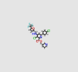 O=C(OCc1cccnc1)c1nc(-c2ccc(Cl)cc2)cc(NCc2ccc(C(F)(F)F)o2)c1Cl